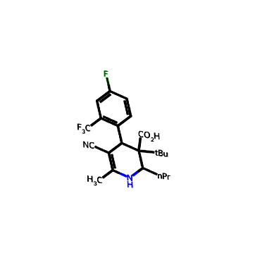 CCCC1NC(C)=C(C#N)C(c2ccc(F)cc2C(F)(F)F)C1(C(=O)O)C(C)(C)C